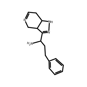 NC(CCc1ccccc1)C1=NNC2CC=NCC12